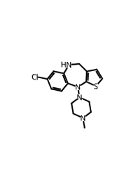 CN1CCN(N2c3ccc(Cl)cc3NCc3ccsc32)CC1